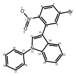 O=[N+]([O-])c1ccc(Br)cc1-c1cn(-c2ccccc2)c2ccccc12